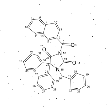 O=C(c1ccc2ccccc2c1)N1C(=O)N(Cc2ccccc2)C(c2ccccc2)(c2ccccc2)C1=O